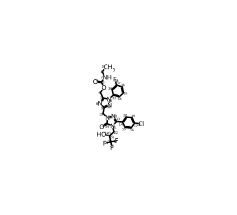 CCNC(=O)OCc1nc(Cn2nc(-c3ccc(Cl)cc3)n(C[C@H](O)C(F)(F)F)c2=O)nn1-c1cccc(F)c1